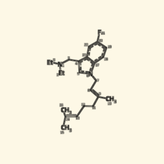 CCN(CC)Cc1cn(C/C=C(\C)CCC=C(C)C)c2ccc(F)cc12